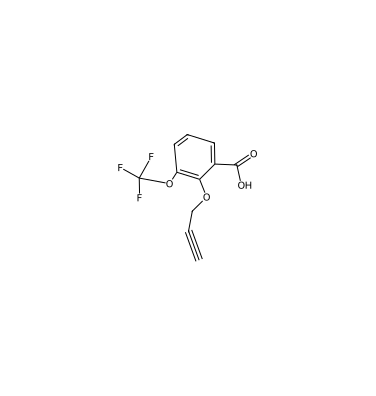 C#CCOc1c(OC(F)(F)F)cccc1C(=O)O